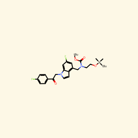 CC(C)(C)OC(=O)N(CCO[Si](C)(C)C(C)(C)C)Cc1cc(F)cc2c1ccn2CC(=O)c1ccc(F)cc1